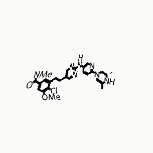 CNC(=O)c1cc(CCc2cnc(Nc3ccc(N4C=C(C)N[C@@H](C)C4)nc3)nc2)c(Cl)c(OC)c1